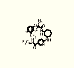 CC(C)(Oc1ccc(F)c(C(F)(F)F)c1)C(=O)NC1CCCCC(Nc2ccc(C(=O)NCC(F)(F)F)cn2)C1